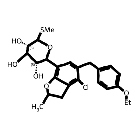 CCOc1ccc(Cc2cc(C3OC(SC)[C@@H](O)C(O)[C@H]3O)c3c(c2Cl)CC(C)O3)cc1